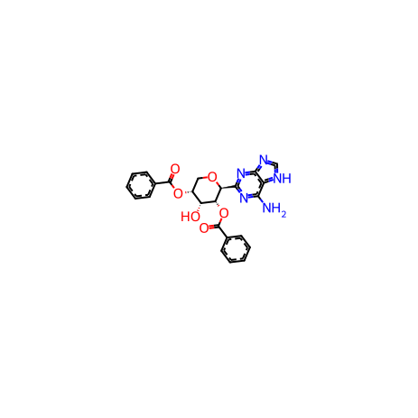 Nc1nc([C@@H]2OC[C@@H](OC(=O)c3ccccc3)[C@@H](O)[C@H]2OC(=O)c2ccccc2)nc2nc[nH]c12